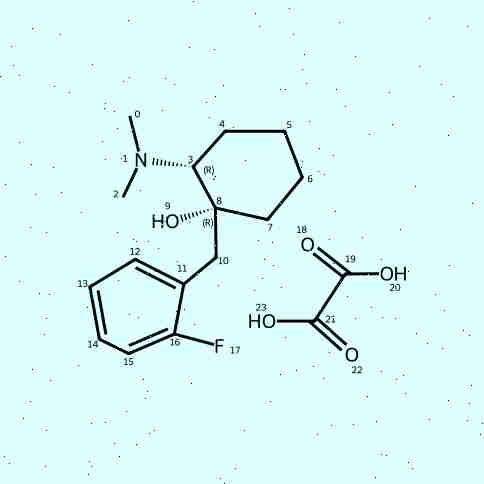 CN(C)[C@@H]1CCCC[C@@]1(O)Cc1ccccc1F.O=C(O)C(=O)O